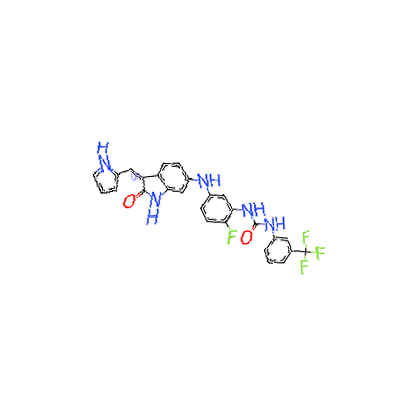 O=C(Nc1cccc(C(F)(F)F)c1)Nc1cc(Nc2ccc3c(c2)NC(=O)/C3=C\c2ccc[nH]2)ccc1F